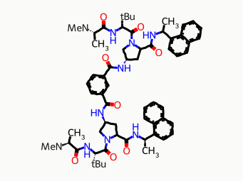 CN[C@@H](C)C(=O)NC(C(=O)N1C[C@@H](NC(=O)c2cccc(C(=O)N[C@H]3CC(C(=O)N[C@H](C)c4cccc5ccccc45)N(C(=O)[C@@H](NC(=O)[C@H](C)NC)C(C)(C)C)C3)c2)CC1C(=O)NC(C)c1cccc2ccccc12)C(C)(C)C